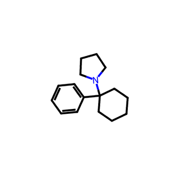 c1ccc(C2(N3CCCC3)CCCCC2)cc1